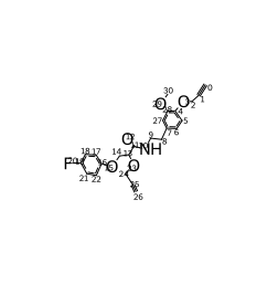 C#CCOc1ccc(CCNC(=O)C(COc2ccc(F)cc2)OCC#C)cc1OC